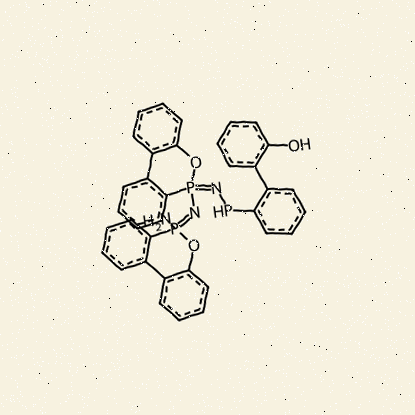 NP1(=NP2(=NPc3ccccc3-c3ccccc3O)Oc3ccccc3-c3ccccc32)Oc2ccccc2-c2ccccc21